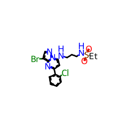 CCS(=O)(=O)NCCCNc1cc(-c2ccccc2Cl)nc2c(Br)cnn12